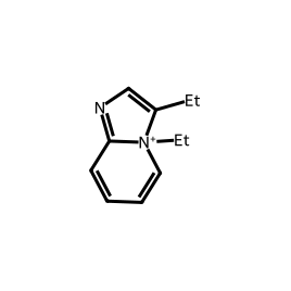 [CH2]CC1=CN=C2C=CC=C[N+]12CC